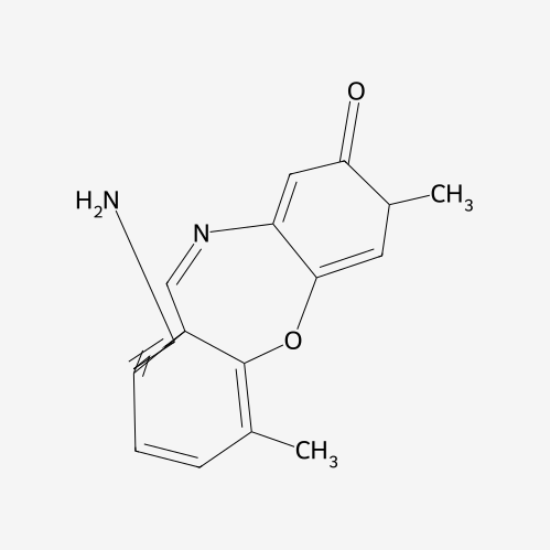 CC1=C2OC3=CC(C)C(=O)C=C3N=CC23CC(N)=CC=C3C=C1